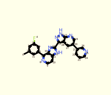 Cc1cc(F)cc(-c2nccc3[nH]c(-c4n[nH]c5ncc(-c6cccnc6)cc45)nc23)c1